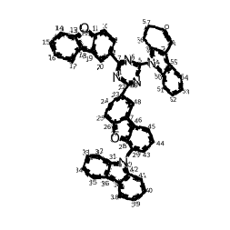 C1=Cc2c(n(-c3nc(-c4ccc5oc6ccccc6c5c4)nc(-c4ccc5oc6c(-n7c8ccccc8c8ccccc87)cccc6c5c4)n3)c3ccccc23)CC1